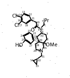 CO[C@]12CC[C@H](N(CC(C)C)C(=O)Cc3ccc(Cl)c(Cl)c3)C[C@]1(c1cccc(O)c1)CCN(CC1CC1)C2